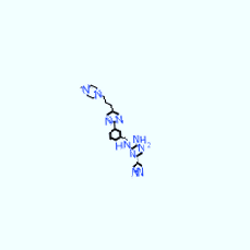 CN1CCN(CCCc2cnc(-c3cccc(CNc4nc(-c5cnn(C)c5)cnc4N)c3)nc2)CC1